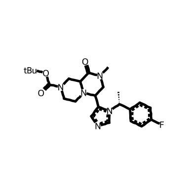 C[C@H](c1ccc(F)cc1)n1cncc1C1CN(C)C(=O)C2CN(C(=O)OC(C)(C)C)CCN21